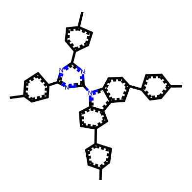 Cc1ccc(-c2ccc3c(c2)c2cc(-c4ccc(C)cc4)ccc2n3-c2nc(-c3ccc(C)cc3)nc(-c3ccc(C)cc3)n2)cc1